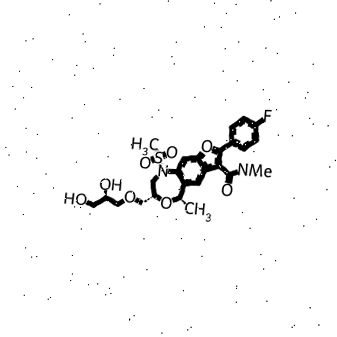 CNC(=O)c1c(-c2ccc(F)cc2)oc2cc3c(cc12)[C@H](C)O[C@H](COC[C@H](O)CO)CN3S(C)(=O)=O